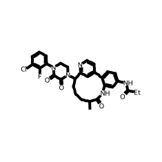 CCC(=O)Nc1ccc2c(c1)NC(=O)C(C)CCCC(N1CCN(c3cccc(Cl)c3F)C(=O)C1=O)c1cc-2ccn1